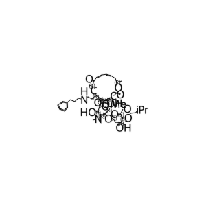 CO[C@@H]1[C@@H](O[C@@H]2O[C@H](C)[C@@H](O[C@H]3C[C@@](C)(O)[C@@H](OC(=O)CC(C)C)[C@H](C)O3)[C@H](N(C)C)[C@H]2O)[C@@H](CCNCCCc2ccccc2)C[C@@H](C)C(=O)C=CC=CC[C@@H](C)OC(=O)C[C@@H]1O